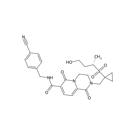 C[C@@H](CCO)S(=O)(=O)C1(CN2CCn3c(ccc(C(=O)NCc4ccc(C#N)cc4)c3=O)C2=O)CC1